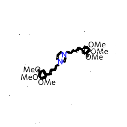 COc1cc(C=CCCCN2CCCN(CCCC=Cc3cc(OC)c(OC)c(OC)c3)CC2)cc(OC)c1OC